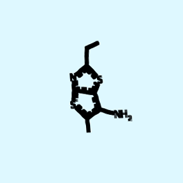 CCc1nc2sc(C)c(N)c2s1